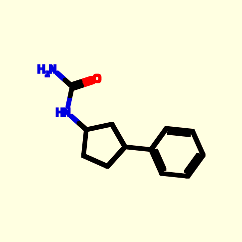 NC(=O)NC1CCC(c2ccccc2)C1